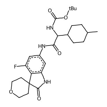 CC1CCC(C(NC(=O)OC(C)(C)C)C(=O)Nc2cc(F)c3c(c2)NC(=O)C32CCOCC2)CC1